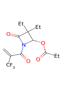 C=C(C(=O)N1C(=O)C(CC)(CC)C1OC(=O)CC)C(F)(F)F